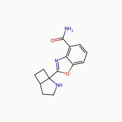 NC(=O)c1cccc2oc(C34CCC3CCN4)nc12